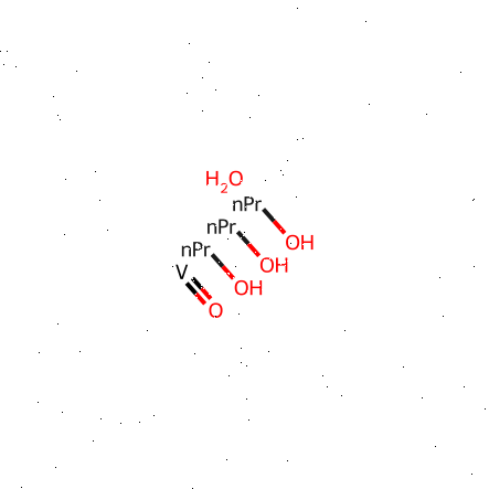 CCCO.CCCO.CCCO.O.[O]=[V]